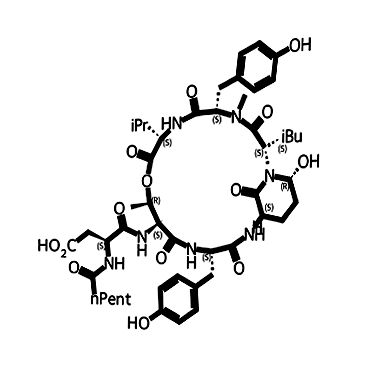 CCCCCC(=O)N[C@@H](CC(=O)O)C(=O)N[C@@H]1C(=O)N[C@@H](Cc2ccc(O)cc2)C(=O)N[C@H]2CC[C@@H](O)N(C2=O)[C@@H]([C@@H](C)CC)C(=O)N(C)[C@@H](Cc2ccc(O)cc2)C(=O)N[C@@H](C(C)C)C(=O)O[C@@H]1C